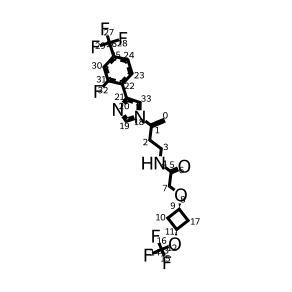 C=C(CCNC(=O)CO[C@H]1C[C@@H](OC(F)(F)F)C1)n1cnc(-c2ccc(C(F)(F)F)cc2F)c1